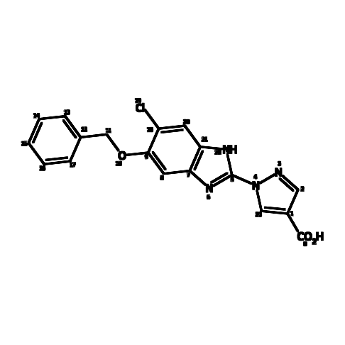 O=C(O)c1cnn(-c2nc3cc(OCc4ccccc4)c(Cl)cc3[nH]2)c1